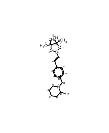 CC1(C)OB(C=Cc2ccc(CN3CCCCC3I)cc2)OC1(C)C